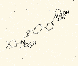 CC1(C)CCC(N(CCOc2ccc(-c3cccc(N4CCCS4(O)O)c3)cc2)C(=O)O)CC1